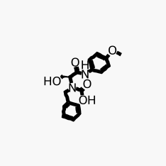 COc1ccc(NC(=O)[C@H](CO)N(Cc2ccccc2)C(=O)O)cc1